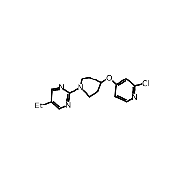 CCc1cnc(N2CCC(Oc3ccnc(Cl)c3)CC2)nc1